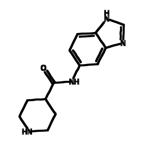 O=C(Nc1ccc2[nH]cnc2c1)C1CCNCC1